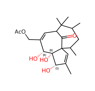 CC(=O)OCC1=CC2C(=O)C3(C=C(C)[C@H](O)[C@@]3(O)[C@@H]1O)C(C)CC(C)C2(C)C